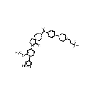 COc1cc(N2CCC3(CCN(C(=O)c4ccc(N5CCN(CCC(F)(F)F)CC5)cc4)CC3)C2=O)ccc1-c1cn[nH]c1